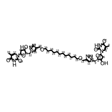 Cc1cn([C@H]2CC(O)[C@@H](Cn3cc(COCCCCCCCCCCCCOCc4cn(C[C@H]5O[C@@H](n6cc(C)c(=O)[nH]c6=O)CC5O)nn4)nn3)O2)c(=O)[nH]c1=O